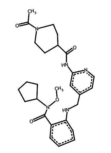 CON(C(=O)c1ccccc1NCc1ccnc(NC(=O)C2CCN(C(C)=O)CC2)c1)C1CCCC1